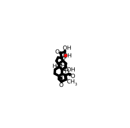 CC1=C(C=O)[C@@]2(C=O)C(=CC1=O)CC[C@@H]1[C@@H]2C(O)C[C@@]2(C=O)[C@H]1CC[C@]2(O)C(=O)CO